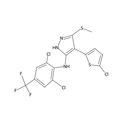 CSc1n[nH]c(Nc2c(Cl)cc(C(F)(F)F)cc2Cl)c1-c1ccc(Cl)s1